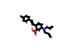 C=CCN(CC=C)C1=CC(=S(=O)=O)C(C=Cc2ccc(C)cc2)C=C1